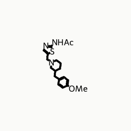 COc1ccc(CC2CCCN(Cc3cnc(NC(C)=O)s3)C2)cc1